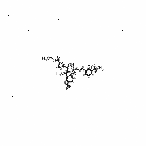 CCOC(=O)c1csc(C(O)c2c(C)c3cc(C(F)(F)F)ccc3n2S(=O)(=O)CC=Cc2cccc(C(C)(C)C)c2)n1